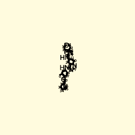 Cc1cc(Nc2ncnc3ccc(NC4=NCC5(CCOCC5)O4)cc23)ccc1OCc1ccccn1